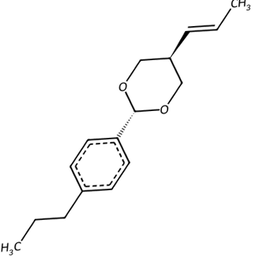 C/C=C/[C@H]1CO[C@H](c2ccc(CCC)cc2)OC1